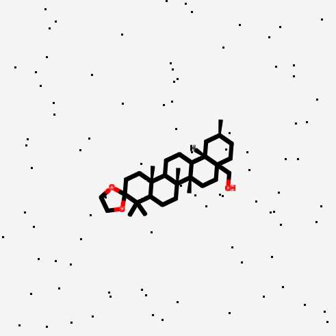 C[C@H]1CCC2(CO)CC[C@@]3(C)C(CCC4[C@@]5(C)CCC6(OCCO6)C(C)(C)C5CC[C@]43C)[C@@H]2C1